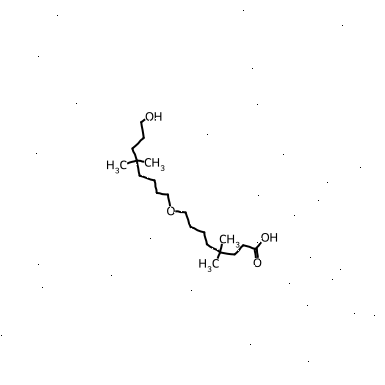 CC(C)(CCCO)CCCCOCCCCC(C)(C)CCC(=O)O